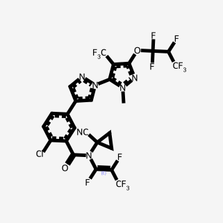 Cn1nc(OC(F)(F)C(F)C(F)(F)F)c(C(F)(F)F)c1-n1cc(-c2ccc(Cl)c(C(=O)N(/C(F)=C(\F)C(F)(F)F)C3(C#N)CC3)c2)cn1